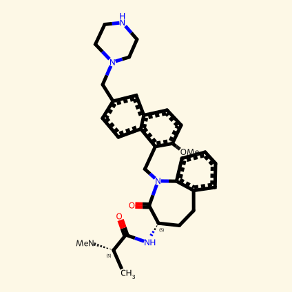 CN[C@@H](C)C(=O)N[C@H]1CCc2ccccc2N(Cc2c(OC)ccc3cc(CN4CCNCC4)ccc23)C1=O